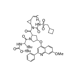 C=CC1CC1N(C(=O)NS(=O)(=O)CC1CCC1)C(=O)C1CC(Oc2cc(-c3ccccc3)nc3cc(OC)ccc23)CN1C(=O)C(NC(=O)OC(C)(C)C)C(C)(C)C